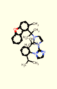 Cc1ccc2oc3ccccc3c2c1C(C)(C)N1C=CN(c2nccn2-c2c(C(C)C)cccc2C(C)C)[C@H]1C